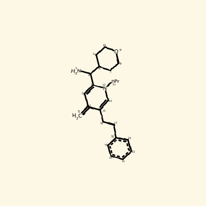 C=C1C=C(C(N)C2CCOCC2)N(CCC)C=C1CCc1ccccc1